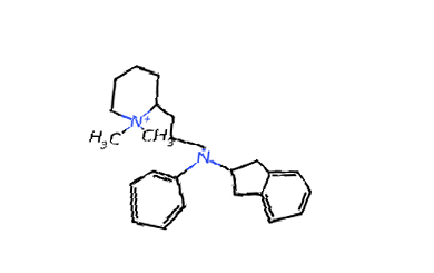 C[N+]1(C)CCCCC1CCCN(c1ccccc1)C1Cc2ccccc2C1